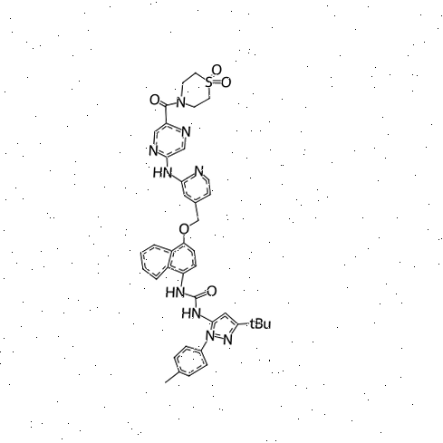 Cc1ccc(-n2nc(C(C)(C)C)cc2NC(=O)Nc2ccc(OCc3ccnc(Nc4cnc(C(=O)N5CCS(=O)(=O)CC5)cn4)c3)c3ccccc23)cc1